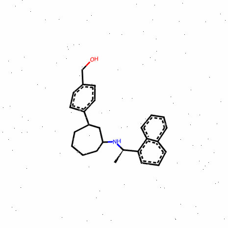 C[C@@H](NC1CCCCC(c2ccc(CO)cc2)C1)c1cccc2ccccc12